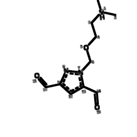 C[SiH](C)CCOCn1nc(C=O)cc1C=O